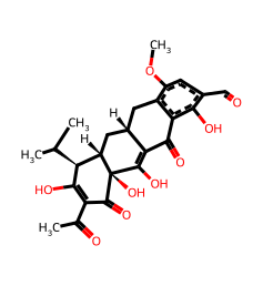 COc1cc(C=O)c(O)c2c1C[C@H]1C[C@H]3[C@H](C(C)C)C(O)=C(C(C)=O)C(=O)[C@@]3(O)C(O)=C1C2=O